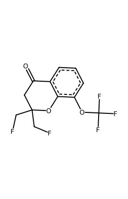 O=C1CC(CF)(CF)Oc2c(OC(F)(F)F)cccc21